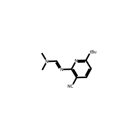 CN(C)C=Nc1nc(C(C)(C)C)ccc1C#N